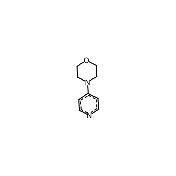 c1cc(N2CCOCC2)ccn1